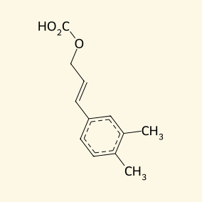 Cc1ccc(C=CCOC(=O)O)cc1C